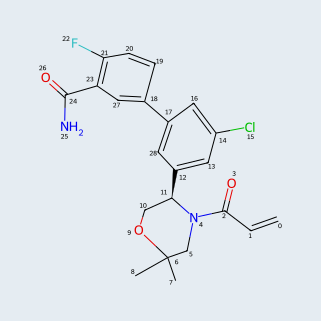 C=CC(=O)N1CC(C)(C)OC[C@H]1c1cc(Cl)cc(-c2ccc(F)c(C(N)=O)c2)c1